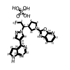 FCC([C@H]1CCN(c2nc3cccnc3o2)C1)n1cc(-c2ncnc3[nH]ccc23)cn1.O=P(O)(O)O